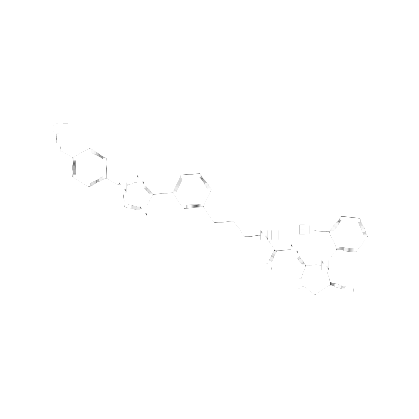 CCc1ccccc1N1C(=O)CSC1=NC(=O)NCCCc1cccc(-c2ncn(-c3ccc(OC(F)(F)F)cc3)n2)c1